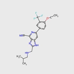 CCOc1ccc(-c2cc3[nH]c(CNCC(C)C)nc3c(C#N)n2)cc1C(F)(F)F